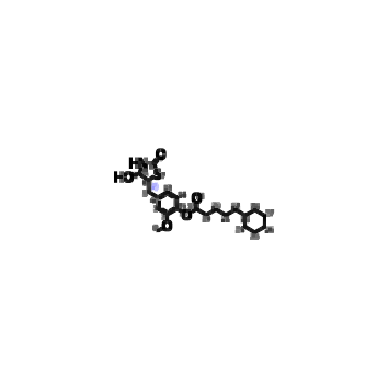 COc1cc(/C=C2\SC(=O)NC2O)ccc1OC(=O)CCCCC1CCCCC1